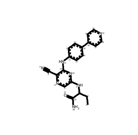 CCC(Nc1cnc(C#N)c(Nc2ccc(-c3ccncc3)cc2)n1)C(N)=O